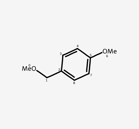 COCc1ccc(OC)cc1